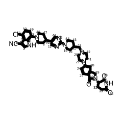 N#Cc1c[nH]c2c(N3CCC(c4cnc(N5CCC(CN6CCN(c7ccc8c(c7)CN(C7CCC(=O)NC7=O)C8=O)CC6)CC5)nc4)CC3)ccc(Cl)c12